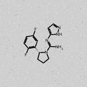 NC(=Nc1ccn[nH]1)N1CCC[C@@H]1c1cc(F)ccc1F